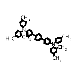 Cc1ccc(N(c2ccc(-c3ccc(-c4ccc(N(c5ccc(C)cc5)c5ccc(C)cc5C)cc4)cc3)cc2)c2ccc(C)cc2C)cc1